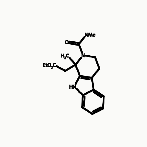 CCOC(=O)CC1(C)c2[nH]c3ccccc3c2CCN1C(=O)NC